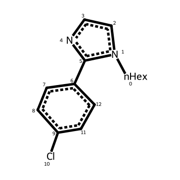 CCCCCCn1ccnc1-c1ccc(Cl)cc1